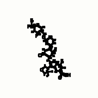 CC1(C)COCC1n1c(Cc2cc(F)c(-c3ccnc(OCc4ccc(C(F)F)cc4F)n3)cc2Cl)nc2c(F)cc(C(=O)O)cc21